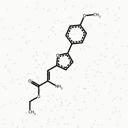 CCOC(=O)/C(N)=C/c1ccc(-c2ccc(OC)cc2)o1